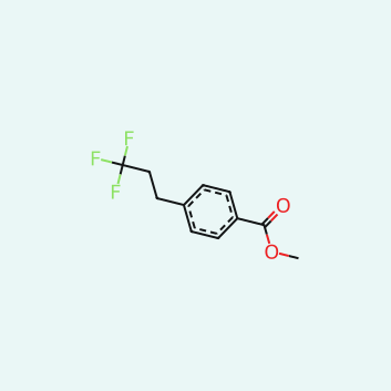 COC(=O)c1ccc(CCC(F)(F)F)cc1